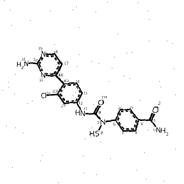 NC(=O)c1ccc(N(S)C(=O)Nc2ccc(-c3ccnc(N)n3)c(Cl)c2)cc1